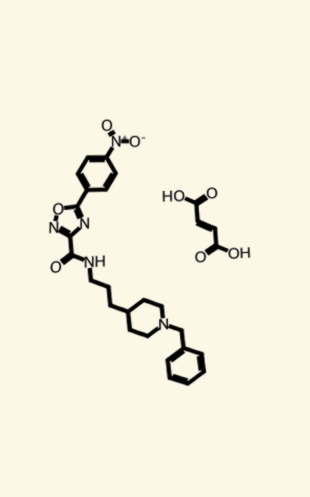 O=C(NCCCC1CCN(Cc2ccccc2)CC1)c1noc(-c2ccc([N+](=O)[O-])cc2)n1.O=C(O)C=CC(=O)O